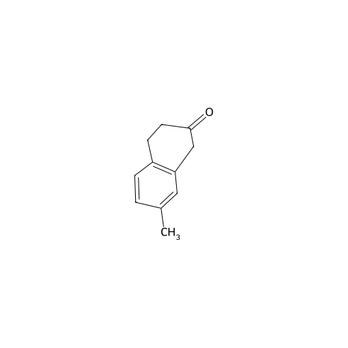 Cc1ccc2c(c1)CC(=O)CC2